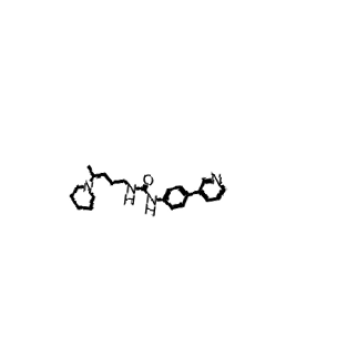 CC(CCCNC(=O)Nc1ccc(-c2cccnc2)cc1)N1CCCCC1